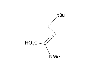 CN/C(=C/CC(C)(C)C)C(=O)O